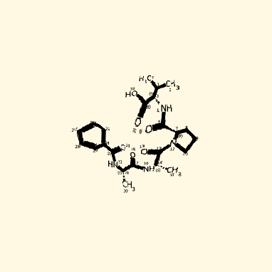 CC(C)[C@H](NC(=O)[C@H]1CCCN1C(=O)[C@H](C)NC(=O)[C@H](C)NC(=O)c1ccccc1)C(=O)O